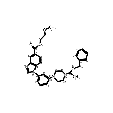 COCCOC(=O)c1ccc2c(c1)ncn2-c1cccc(N2CCN(C(C)OCc3ccccc3)CC2)c1